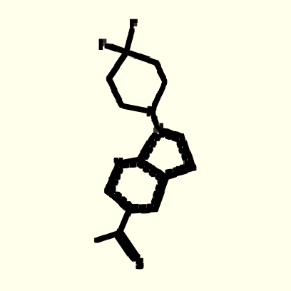 CC(=S)c1cnc2c(ccn2N2CCC(F)(F)CC2)c1